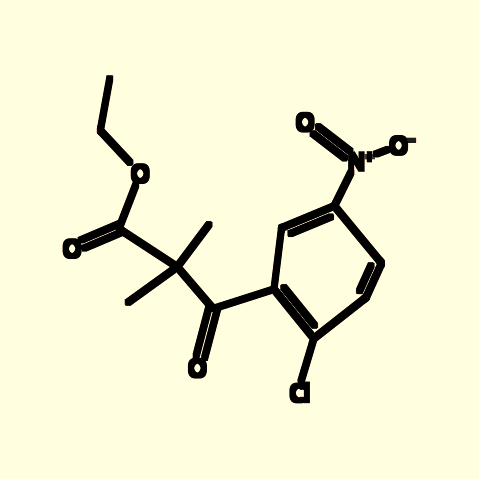 CCOC(=O)C(C)(C)C(=O)c1cc([N+](=O)[O-])ccc1Cl